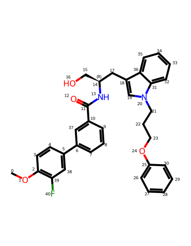 COc1ccc(-c2cccc(C(=O)N[C@@H](CO)Cc3cn(CCCOc4ccccc4)c4ccccc34)c2)cc1F